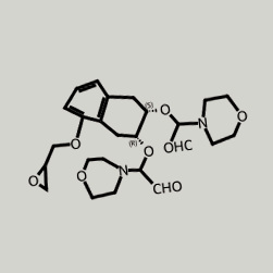 O=CC(O[C@H]1Cc2cccc(OCC3CO3)c2C[C@H]1OC(C=O)N1CCOCC1)N1CCOCC1